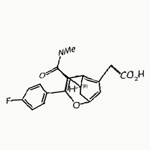 CNC(=O)C1=C(c2ccc(F)cc2)OC2=CC(CC(=O)O)=C1[C@H](C)C2